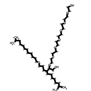 CC(C)CCCCCCCCCCOCCCC(CCCCCCC(C)C)C(CO)OCCOCCOCCOCCOCCOCCOCCO